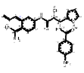 C=C/C=c1/cc(NC(=O)[C@H](O)[C@@H](NC(=O)c2ccc(N)cc2)c2ccco2)ccc1=C(N)N